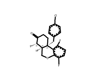 O=C1CC[C@@]2(Cc3ccc(Cl)cc3)c3c(F)ccc(F)c3OC[C@H]2[C@@H]1F